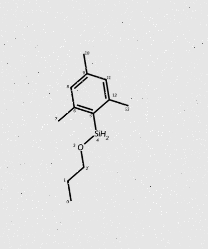 CCCO[SiH2]c1c(C)cc(C)cc1C